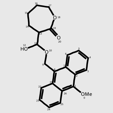 COc1c2ccccc2c(COC(O)C2CCCCOC2=O)c2ccccc12